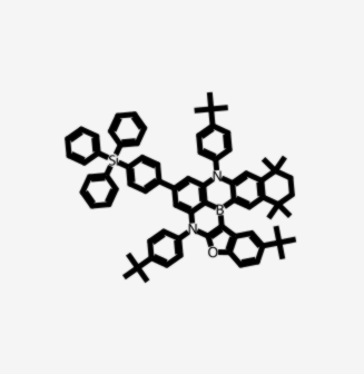 CC(C)(C)c1ccc(N2c3cc4c(cc3B3c5c2cc(-c2ccc([Si](c6ccccc6)(c6ccccc6)c6ccccc6)cc2)cc5N(c2ccc(C(C)(C)C)cc2)c2oc5ccc(C(C)(C)C)cc5c23)C(C)(C)CCC4(C)C)cc1